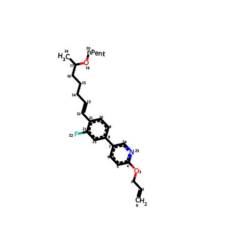 C=CCOc1ccc(-c2ccc(C=CCCCC(C)OCCCCC)c(F)c2)cn1